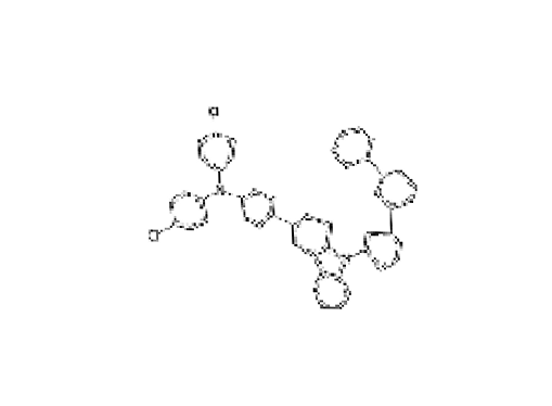 Clc1ccc(N(c2ccc(Cl)cc2)c2ccc(-c3ccc4c(c3)c3ccccc3n4-c3cccc(-c4cccc(-c5ccccc5)c4)c3)cc2)cc1